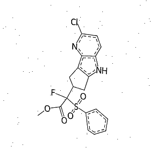 COC(=O)C(F)(C1Cc2[nH]c3ccc(Cl)nc3c2C1)S(=O)(=O)c1ccccc1